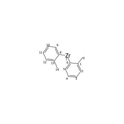 Cc1cccc[c]1[Zr][c]1ccccc1C